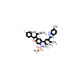 C=C=C(NC)c1c(-c2ccc(F)cc2)oc2cc(N(C)S(C)(=O)=O)c(C(/C=C(\C=C)c3nc4ccc(C#N)cc4[nH]3)=C/C)cc12